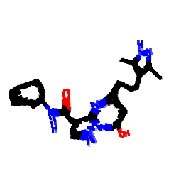 Cc1n[nH]c(C)c1CCc1cc(O)n2ncc(C(=O)Nc3ccccc3)c2n1